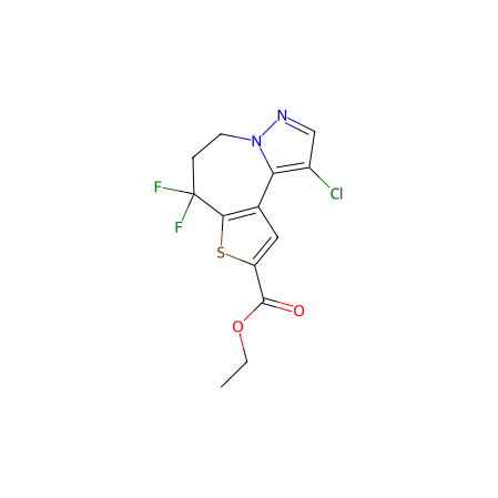 CCOC(=O)c1cc2c(s1)C(F)(F)CCn1ncc(Cl)c1-2